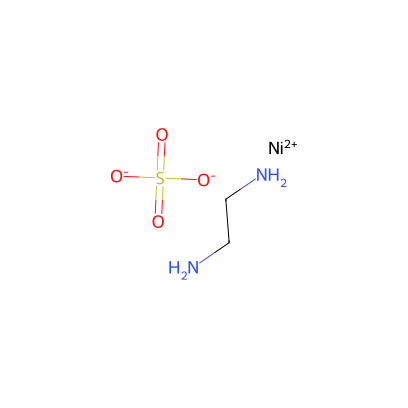 NCCN.O=S(=O)([O-])[O-].[Ni+2]